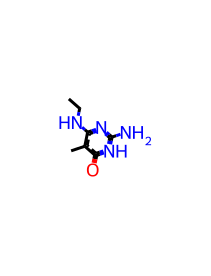 CCNc1nc(N)[nH]c(=O)c1C